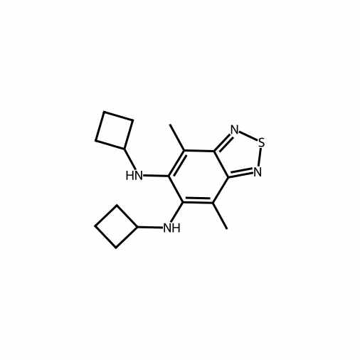 Cc1c(NC2CCC2)c(NC2CCC2)c(C)c2nsnc12